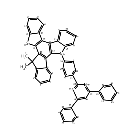 CC1(C)c2ccccc2-c2c1c1sc3ccccc3c1c1c3ccccc3n(-c3ccc(-c4nc(-c5ccccc5)cc(-c5ccccc5)n4)cc3)c21